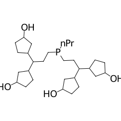 CCCP(CCC(C1CCC(O)C1)C1CCC(O)C1)CCC(C1CCC(O)C1)C1CCC(O)C1